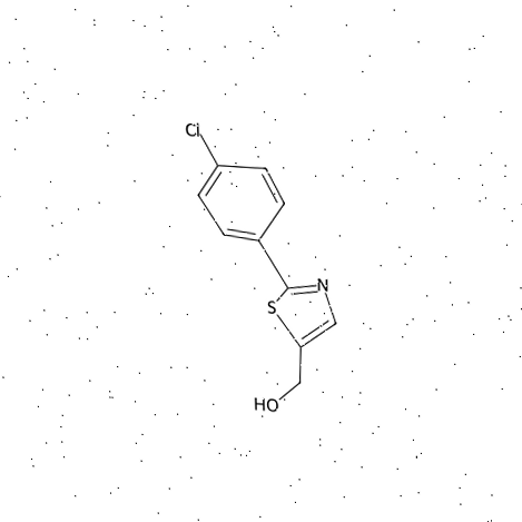 OCc1cnc(-c2ccc(Cl)cc2)s1